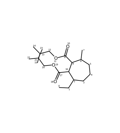 CCC1CCCC(C)C(C(=O)OCC(C)C)C1C(=O)OCC(C)C